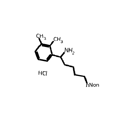 CCCCCCCCCCCCCC(N)c1cccc(C)c1C.Cl